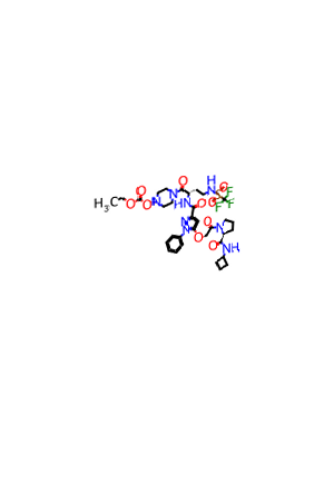 CCOC(=O)ON1CCN(C(=O)[C@H](CCNS(=O)(=O)C(F)(F)F)NC(=O)c2cc(OCC(=O)N3CCC[C@H]3C(=O)NC3CCC3)n(-c3ccccc3)n2)CC1